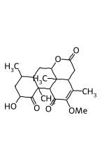 COC1=C(C)C2CC(=O)OC3CC4C(C)CC(O)C(=O)C4(C)C(C1=O)C32C